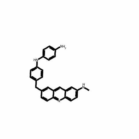 CNc1ccc2nc3ccc(Cc4ccc(Nc5ccc(N)cc5)cc4)cc3cc2c1